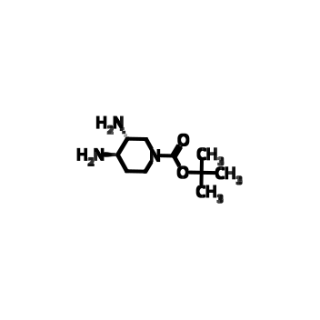 CC(C)(C)OC(=O)N1CC[C@@H](N)[C@H](N)C1